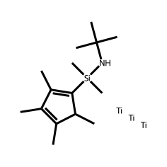 CC1=C(C)C(C)C([Si](C)(C)NC(C)(C)C)=C1C.[Ti].[Ti].[Ti]